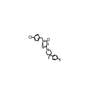 O=c1nc(N2CCC(F)(c3ccc(F)cc3)CC2)ncn1Cc1ccc(Cl)cc1